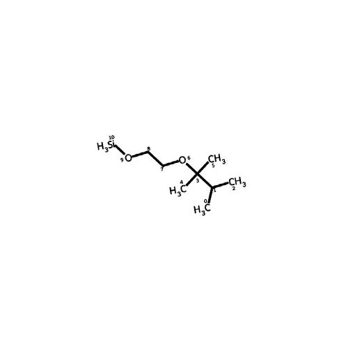 CC(C)C(C)(C)OCCO[SiH3]